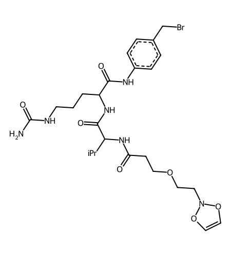 CC(C)C(NC(=O)CCOCCN1OC=CO1)C(=O)NC(CCCNC(N)=O)C(=O)Nc1ccc(CBr)cc1